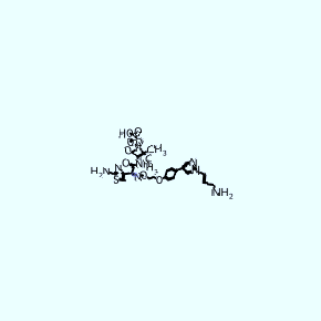 CC1(C)[C@H](NC(=O)/C(=N\OCCOc2ccc(-c3cnn(CCCN)c3)cc2)c2csc(N)n2)C(=O)N1OS(=O)(=O)O